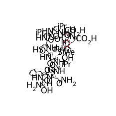 CSCC[C@H](NC(=O)[C@H](CC(C)C)NC(=O)[C@H](CCC(N)=O)NC(=O)[C@H](Cc1ccccc1)NC(=O)[C@@H](N)CO)C(=O)N[C@@H](CC(C)C)C(=O)N[C@@H](CS)C(=O)N[C@H](C(=O)N[C@@H](CC(C)C)C(=O)N[C@@H](CC(=O)O)C(=O)N[C@@H](Cc1ccc(O)cc1)C(=O)N[C@@H](Cc1ccccc1)C(=O)O)C(C)C